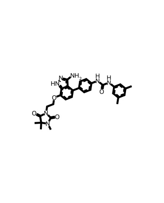 Cc1cc(C)cc(NC(=O)Nc2ccc(-c3ccc(OCCN4C(=O)N(C)C(C)(C)C4=O)c4[nH]nc(N)c34)cc2)c1